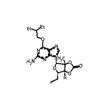 CCC(CC)COc1nc(N)nc2c1ncn2[C@@H]1O[C@H](CI)[C@H]2OC(=O)O[C@]21C